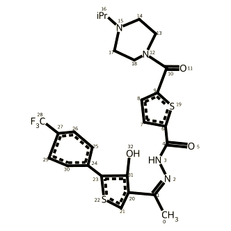 CC(=NNC(=O)c1ccc(C(=O)N2CCN(C(C)C)CC2)s1)c1csc(-c2ccc(C(F)(F)F)cc2)c1O